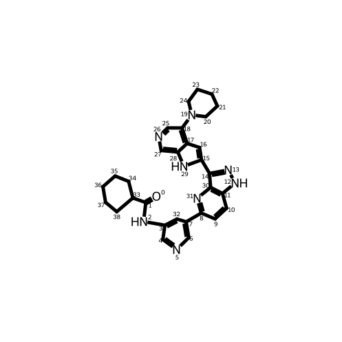 O=C(Nc1cncc(-c2ccc3[nH]nc(-c4cc5c(N6CCCCC6)cncc5[nH]4)c3n2)c1)C1CCCCC1